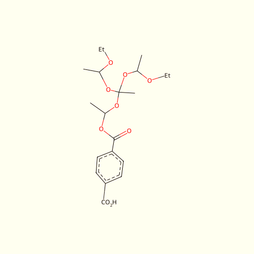 CCOC(C)OC(C)(OC(C)OCC)OC(C)OC(=O)c1ccc(C(=O)O)cc1